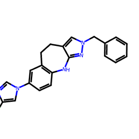 Clc1cn(-c2ccc3c(c2)CCc2cn(Cc4ccccc4)nc2N3)cn1